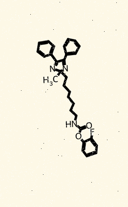 CC1(CCCCCCCNC(=O)Oc2ccccc2F)N=C(c2ccccc2)C(c2ccccc2)=N1